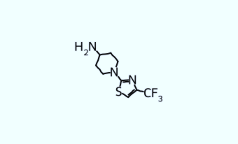 NC1CCN(c2nc(C(F)(F)F)cs2)CC1